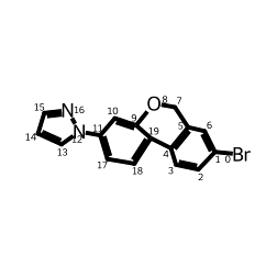 Brc1ccc2c(c1)COc1cc(-n3cccn3)ccc1-2